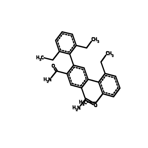 CCc1cccc(CC)c1-c1cc(-c2c(CC)cccc2CC)c(C(N)=O)cc1C(N)=O